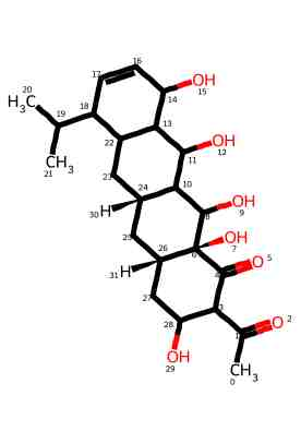 CC(=O)C1C(=O)[C@@]2(O)C(O)C3C(O)C4C(O)C=CC(C(C)C)C4C[C@H]3C[C@H]2CC1O